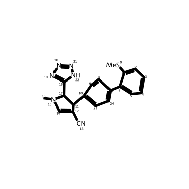 CSc1ccccc1-c1ccc(C2C(C#N)=CN(C)C2c2nnn[nH]2)cc1